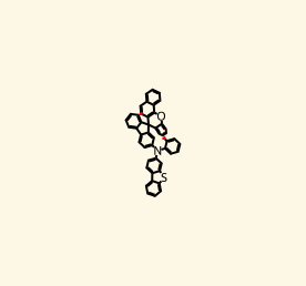 Cc1ccccc1N(c1ccc2c(c1)C1(c3ccccc3Oc3c1ccc1ccccc31)c1ccccc1-2)c1ccc2c(c1)sc1ccccc12